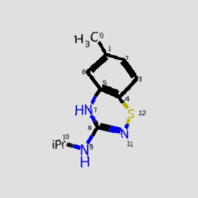 Cc1ccc2c(c1)NC(NC(C)C)=NS2